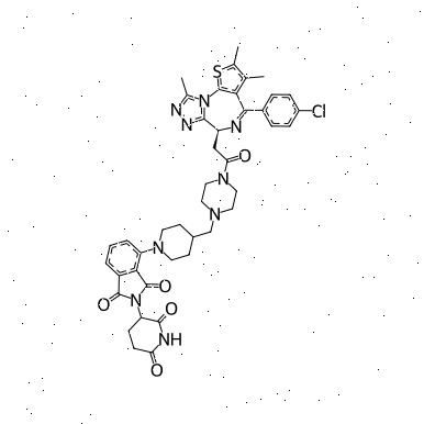 Cc1sc2c(c1C)C(c1ccc(Cl)cc1)=N[C@@H](CC(=O)N1CCN(CC3CCN(c4cccc5c4C(=O)N(C4CCC(=O)NC4=O)C5=O)CC3)CC1)c1nnc(C)n1-2